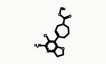 CC(C)(C)OC(=O)N1CC=C(c2c(Cl)c(N)nc3c2OCC3)CCC1